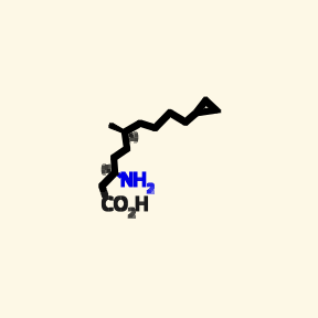 C[C@@H](CCCCC1CC1)CC[C@H](N)CC(=O)O